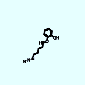 [N-]=[N+]=NCCCCBOc1ccccc1O